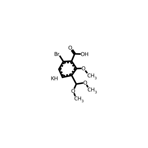 COc1c(C(OC)OC)ccc(Br)c1C(=O)O.[KH]